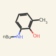 CCCCNc1cccc(C)c1O